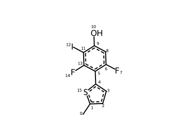 Cc1ccc(-c2c(F)cc(O)c(I)c2F)s1